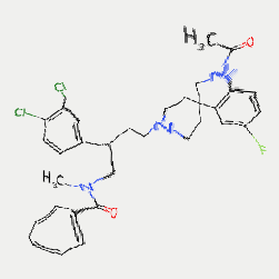 CC(=O)N1CC2(CCN(CCC(CN(C)C(=O)c3ccccc3)c3ccc(Cl)c(Cl)c3)CC2)c2cc(F)ccc21